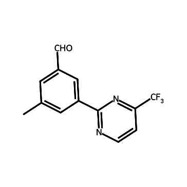 Cc1cc(C=O)cc(-c2nccc(C(F)(F)F)n2)c1